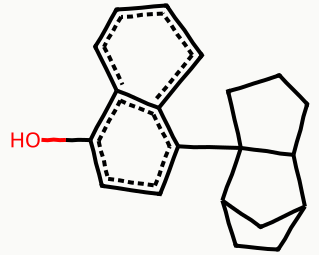 Oc1ccc(C23CCCC2C2CCC3C2)c2ccccc12